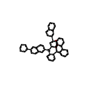 c1ccc(-c2ccc3cc(N(c4cccc(-c5ccc6ccccc6c5)c4)c4ccccc4-c4cc5ccccc5c5ccccc45)ccc3c2)cc1